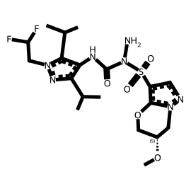 CO[C@@H]1COc2c(S(=O)(=O)N(N)C(=O)Nc3c(C(C)C)nn(CC(F)F)c3C(C)C)cnn2C1